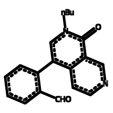 CCCCn1cc(-c2ccccc2C=O)c2ccncc2c1=O